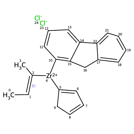 C/C=[C](\C)[Zr+2]([C]1=CC=CC1)[c]1cccc2c1Cc1ccccc1-2.[Cl-].[Cl-]